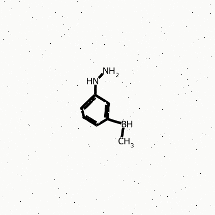 CBc1cccc(NN)c1